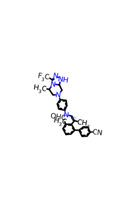 C/C(=C/N(C=O)c1ccc(N2CC(C)N3C(C(F)(F)F)=NNC3C2)cc1)c1c(C)cccc1-c1ccc(C#N)cc1